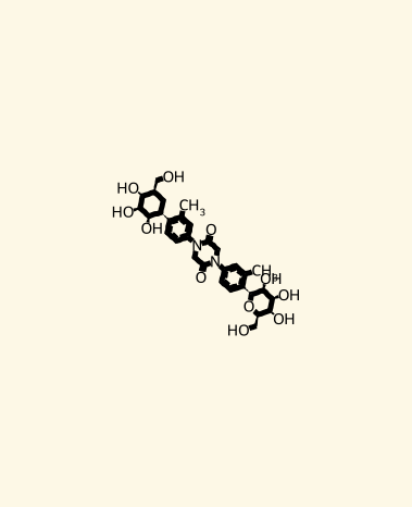 Cc1cc(N2CC(=O)N(c3ccc([C@H]4O[C@H](CO)[C@@H](O)[C@H](O)[C@@H]4O)c(C)c3)CC2=O)ccc1[C@H]1C[C@H](CO)[C@@H](O)[C@H](O)[C@@H]1O